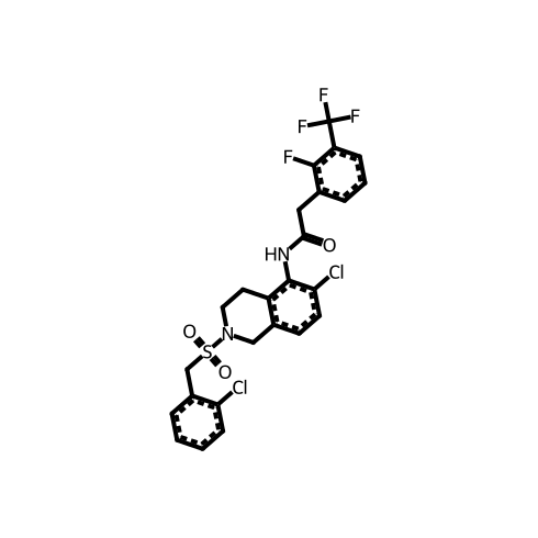 O=C(Cc1cccc(C(F)(F)F)c1F)Nc1c(Cl)ccc2c1CCN(S(=O)(=O)Cc1ccccc1Cl)C2